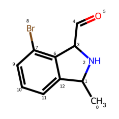 CC1NC(C=O)c2c(Br)cccc21